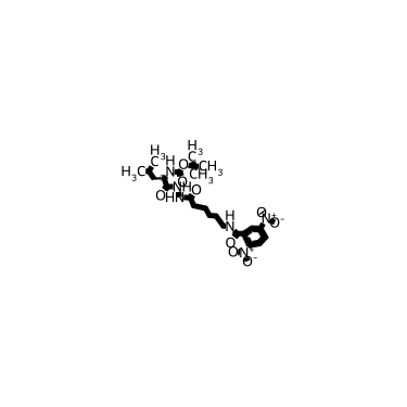 CC(C)C[C@@H](NC(=O)OC(C)(C)C)C(=O)NNC(=O)CCCCCNC(=O)c1cc([N+](=O)[O-])ccc1[N+](=O)[O-]